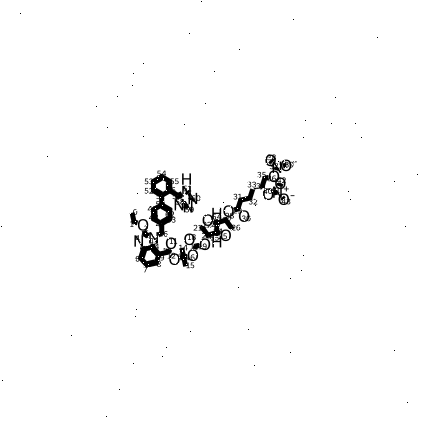 CCOc1nc2cccc(C(=O)OC(C)(C)OC(=O)O[C@@H]3CO[C@H]4[C@@H]3OC[C@H]4OC(=O)CCC[C@H](CO[N+](=O)[O-])O[N+](=O)[O-])c2n1Cc1ccc(-c2ccccc2-c2nnn[nH]2)cc1